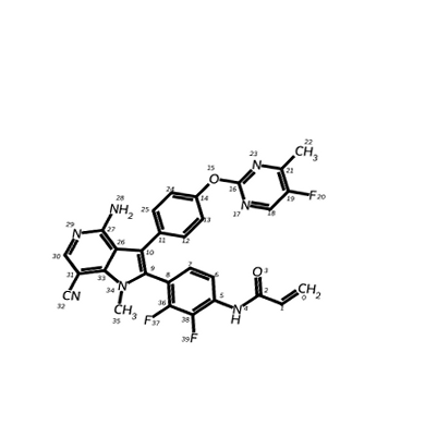 C=CC(=O)Nc1ccc(-c2c(-c3ccc(Oc4ncc(F)c(C)n4)cc3)c3c(N)ncc(C#N)c3n2C)c(F)c1F